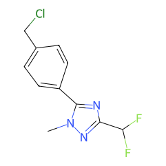 Cn1nc(C(F)F)nc1-c1ccc(CCl)cc1